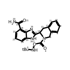 CC(C)(C)NOC(=O)N1Cc2ccccc2CC1c1nc2c(C(N)=O)cccc2[nH]1